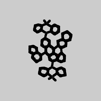 C[Si]1(C)c2ccccc2N(c2ccc3c(-c4cccc5ccccc45)c4cc(N5c6ccccc6[Si](C)(C)c6ccccc65)ccc4c(-c4cc5ccccc5cc4-c4ccccc4)c3c2)c2ccccc21